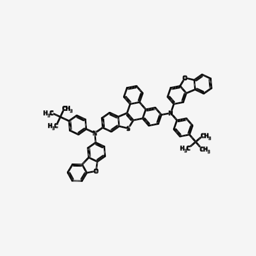 CC(C)(C)c1ccc(N(c2ccc3c(c2)sc2c4ccc(N(c5ccc(C(C)(C)C)cc5)c5ccc6oc7ccccc7c6c5)cc4c4ccccc4c32)c2ccc3oc4ccccc4c3c2)cc1